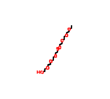 CCOCCOCCOCCOOCCOCCOCCOCCO